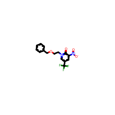 O=c1c([N+](=O)[O-])cc(C(F)(F)F)cn1CCOCc1ccccc1